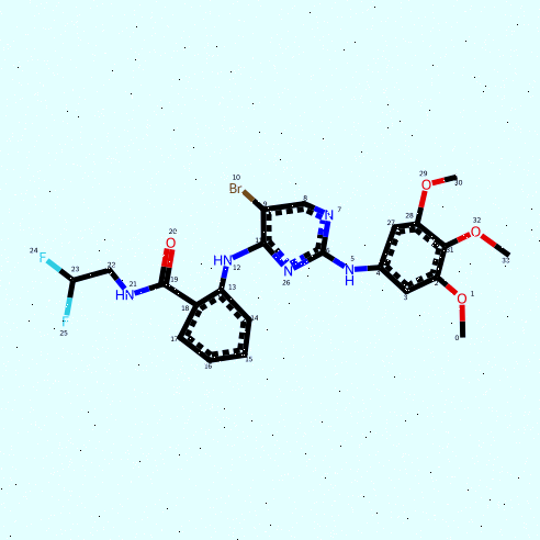 COc1cc(Nc2ncc(Br)c(Nc3ccccc3C(=O)NCC(F)F)n2)cc(OC)c1OC